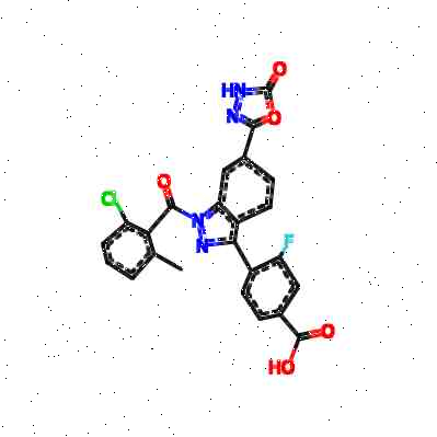 Cc1cccc(Cl)c1C(=O)n1nc(-c2ccc(C(=O)O)cc2F)c2ccc(-c3n[nH]c(=O)o3)cc21